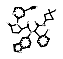 N#Cc1ccnc(N2C(=O)CCC2C(=O)N(c2ccc3[nH]ccc3c2)[C@H](C(=O)NC2CC(F)(F)C2)c2ccccc2Cl)c1